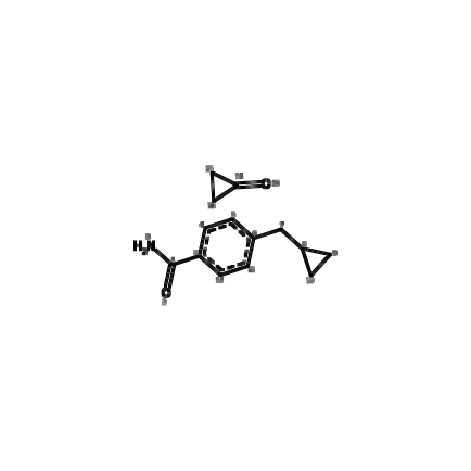 NC(=O)c1ccc(CC2CC2)cc1.O=C1CC1